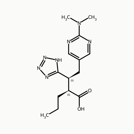 CCC[C@H](C(=O)O)[C@H](Cc1cnc(N(C)C)nc1)c1nnn[nH]1